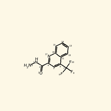 NNC(=O)c1cc(C(F)(F)F)c2ccccc2n1